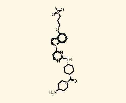 CS(=O)(=O)CCCOc1cccc2c1ccn2-c1ccnc(N[C@H]2CC[C@H](C(=O)N3CCC(N)CC3)CC2)n1